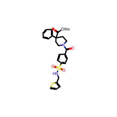 COC(=O)C1(c2ccccc2)CCN(C(=O)c2ccc(S(=O)(=O)NCc3cccs3)cc2)CC1